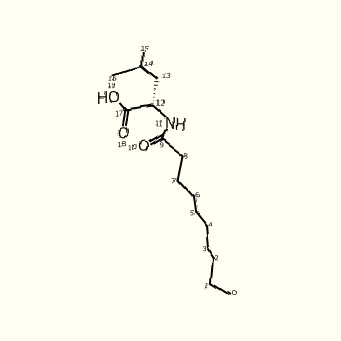 CCCCCCCCCC(=O)N[C@@H](CC(C)C)C(=O)O